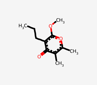 CCCc1c(OC)oc(C)c(C)c1=O